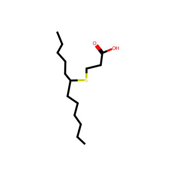 CCCCCCC(CCCCC)SCCC(=O)O